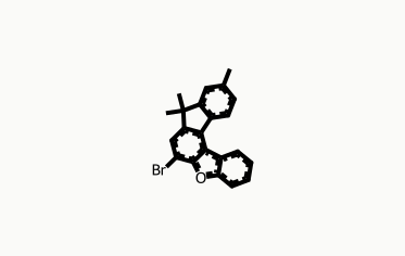 Cc1ccc2c(c1)C(C)(C)c1cc(Br)c3oc4ccccc4c3c1-2